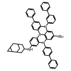 CC(C)(C)c1cc2c3c(c1)N(c1cccc(-c4ccccc4)c1)c1cc(-c4ccccc4)ccc1B3c1ccc(NC3CC4CC(C3)C3CC3C4)cc1N2c1ccc(-c2ccccc2)cc1